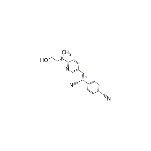 CN(CCO)c1ccc(/C=C(\C#N)c2ccc(C#N)cc2)cn1